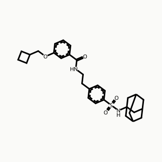 O=C(NCCc1ccc(S(=O)(=O)NC23CC4CC(CC(C4)C2)C3)cc1)c1cccc(OCC2CCC2)c1